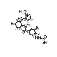 CC(C)C(=O)NCc1ccc(C(=O)N2Cc3cnn(C)c3Nc3cc(F)ccc32)cc1F